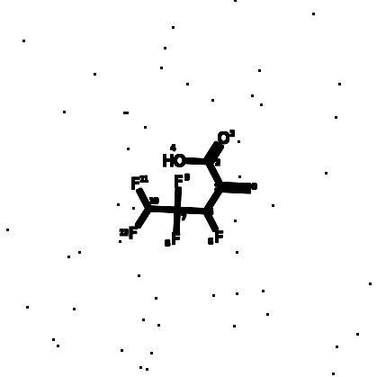 C=C(C(=O)O)C(F)C(F)(F)C(F)F